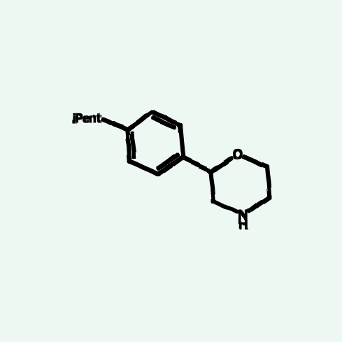 CCCC(C)c1ccc(C2CNCCO2)cc1